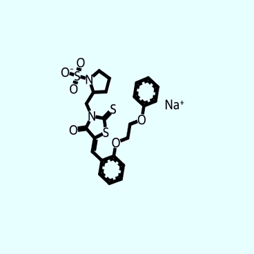 O=C1C(=Cc2ccccc2OCCOc2ccccc2)SC(=S)N1CC1CCCN1S(=O)(=O)[O-].[Na+]